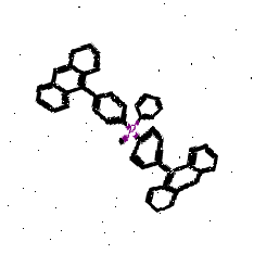 C=P(c1ccccc1)(c1ccc(-c2c3c(cc4ccccc24)CCC=C3)cc1)c1ccc(-c2c3c(cc4ccccc24)CCC=C3)cc1